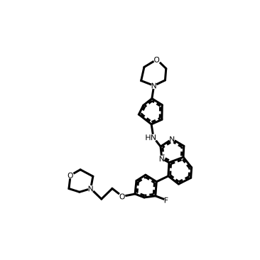 Fc1cc(OCCN2CCOCC2)ccc1-c1cccc2cnc(Nc3ccc(N4CCOCC4)cc3)nc12